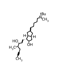 CC#CC[C@@H](C)[C@H](O)/C=C/[C@@H]1[C@H]2C/C(=C/CCCCN(C)C(C)(C)C)C[C@H]2C[C@H]1O